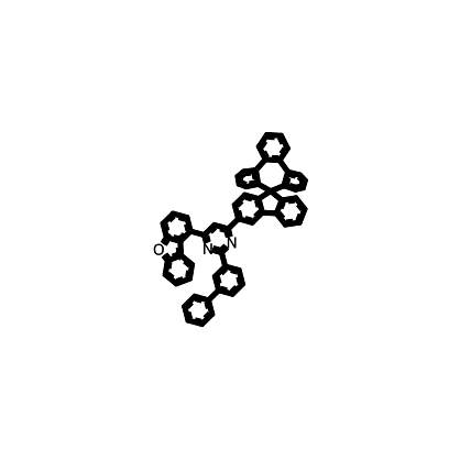 c1ccc(-c2cccc(-c3nc(-c4ccc5c(c4)-c4ccccc4C54c5ccccc5-c5ccccc5-c5ccccc54)cc(-c4cccc5oc6ccccc6c45)n3)c2)cc1